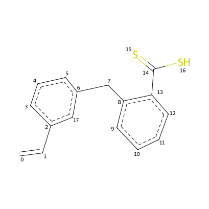 C=Cc1cccc(Cc2ccccc2C(=S)S)c1